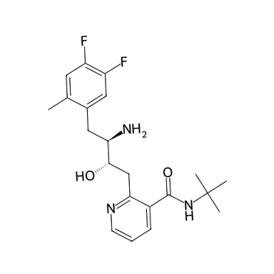 Cc1cc(F)c(F)cc1C[C@@H](N)[C@@H](O)Cc1ncccc1C(=O)NC(C)(C)C